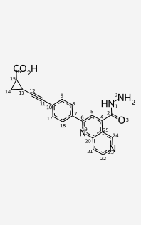 NNC(=O)c1cc(-c2ccc(C#CC3CC3C(=O)O)cc2)nc2ccncc12